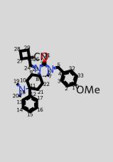 COc1ccc(CN2C[C@]3(CC[C@@](c4ccccc4)(N(C)C)CC3)N(CC3(C#N)CCC3)C2=O)cc1